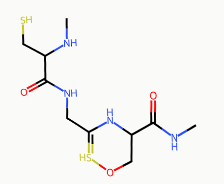 CNC(=O)C1CO[SH]=C(CNC(=O)C(CS)NC)N1